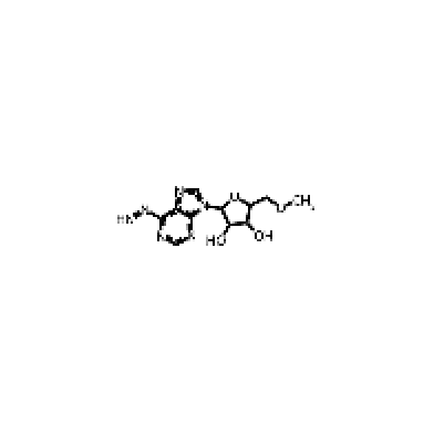 COCC1OC(n2cnc3c(N=N)ncnc32)C(O)C1O